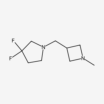 CN1CC(CN2CCC(F)(F)C2)C1